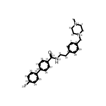 CN1CCN(Cc2ccc(CCNC(=O)c3ccc(-c4ccc(F)cc4)cc3)cc2)CC1